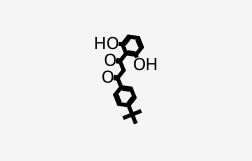 CC(C)(C)c1ccc(C(=O)CC(=O)c2c(O)cccc2O)cc1